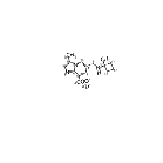 Cc1cnc2c(C(=O)[O-])cc(CNC3(C)CCC3)cn12.[Li+]